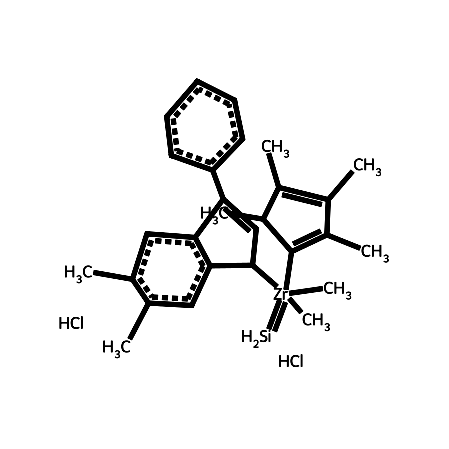 CC1=C(C)C(C)[C]([Zr]([CH3])([CH3])(=[SiH2])[CH]2C=C(c3ccccc3)c3cc(C)c(C)cc32)=C1C.Cl.Cl